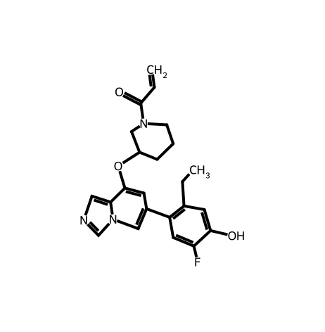 C=CC(=O)N1CCCC(Oc2cc(-c3cc(F)c(O)cc3CC)cn3cncc23)C1